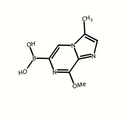 COc1nc(B(O)O)cn2c(C)cnc12